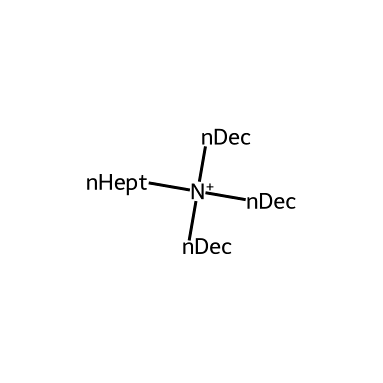 CCCCCCCCCC[N+](CCCCCCC)(CCCCCCCCCC)CCCCCCCCCC